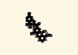 CCS(=O)(=O)c1ccc(Cl)cc1CNC(=O)c1cc(Cl)c(CN2CCC[C@@H](NC)C2)c(OC(F)(F)F)c1